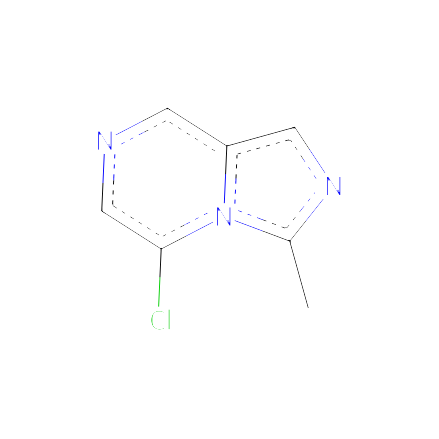 Cc1ncc2cncc(Cl)n12